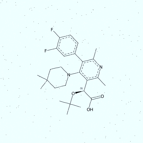 Cc1nc(C)c([C@H](OC(C)(C)C)C(=O)O)c(N2CCC(C)(C)CC2)c1-c1ccc(F)c(F)c1